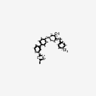 Cc1nnc(-c2cc(-c3ccc(SN4CCC(Nc5ccc(C(F)(F)F)cn5)C(O)C4)cc3)ccn2)o1